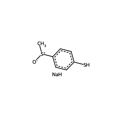 C[S+]([O-])c1ccc(S)cc1.[NaH]